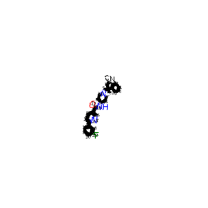 CC(CCC#N)(CN1CCC(NC(=O)c2ccc(-c3cccc(F)c3)nc2)CC1)c1ccccc1